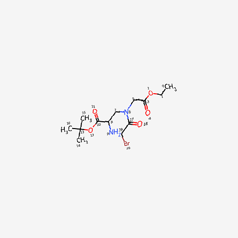 CCOC(=O)CN(CC(N)C(=O)OC(C)(C)C)C(=O)CBr